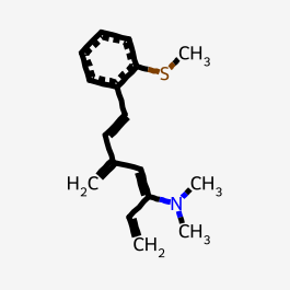 C=C/C(=C\C(=C)/C=C/c1ccccc1SC)N(C)C